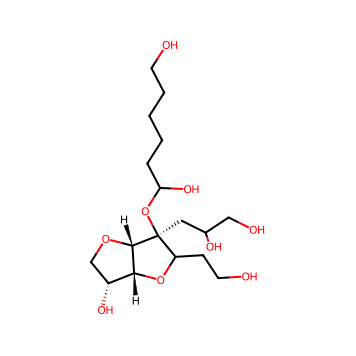 OCCCCCC(O)O[C@@]1(CC(O)CO)C(CCO)O[C@@H]2[C@H](O)CO[C@@H]21